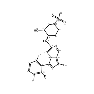 Cc1ccc(F)c(-c2cc(F)c3cnc(N[C@@H]4CCN(S(C)(=O)=O)C[C@H]4O)nn23)c1F